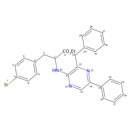 CCOC(=O)C(Cc1ccc(Br)cc1)Nc1ncc(-c2ccccc2)nc1Cc1ccccc1